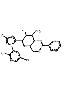 Cc1nc(C2OC3COC(c4ccccc4)OC3C(N)C2O)n(-c2cc(Cl)cnc2C(F)(F)F)n1